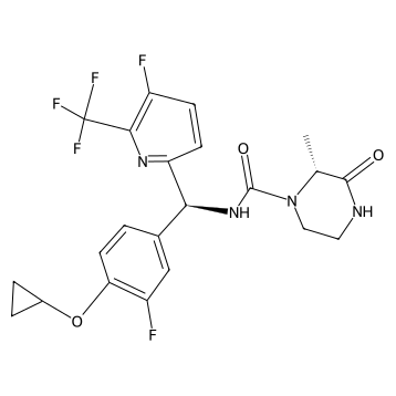 C[C@@H]1C(=O)NCCN1C(=O)N[C@@H](c1ccc(OC2CC2)c(F)c1)c1ccc(F)c(C(F)(F)F)n1